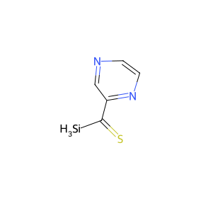 [SiH3]C(=S)c1cnccn1